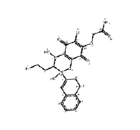 CC(C)CCC1N(O)C2=C(S[N+]1([O-])C1=Cc3ccccc3NC1)C(=O)C(OCC(N)=O)=C(Cl)C2=O